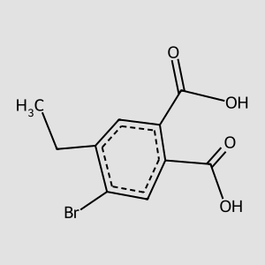 CCc1cc(C(=O)O)c(C(=O)O)cc1Br